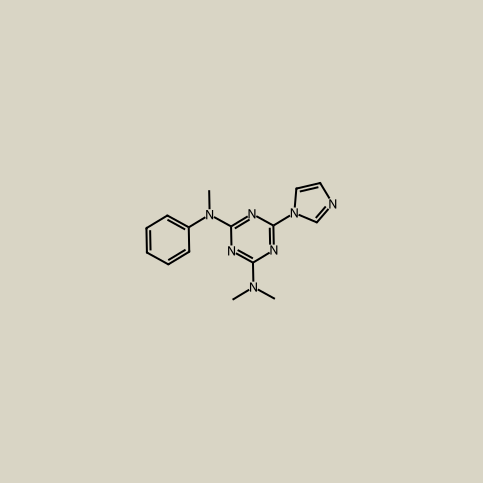 CN(C)c1nc(N(C)c2ccccc2)nc(-n2ccnc2)n1